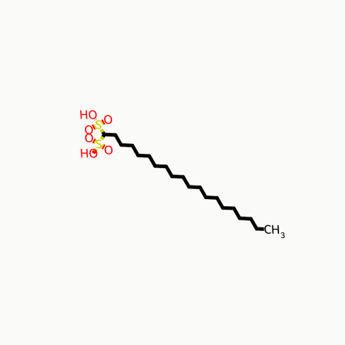 CCCCCCCCCCCCCCCCCCCC(S(=O)(=O)O)S(=O)(=O)O